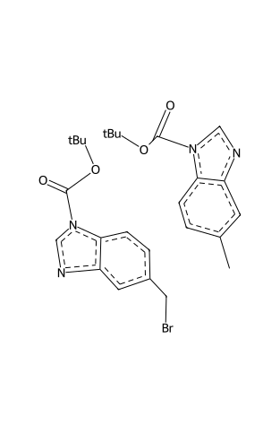 CC(C)(C)OC(=O)n1cnc2cc(CBr)ccc21.Cc1ccc2c(c1)ncn2C(=O)OC(C)(C)C